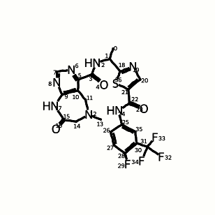 CC(NC(=O)c1ncnc2c1CN(C)CC(=O)N2)c1ncc(C(=O)Nc2ccc(F)c(C(F)(F)F)c2)s1